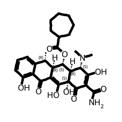 C[C@H]1c2cccc(O)c2C(=O)C2=C(O)[C@]3(O)C(=O)C(C(N)=O)=C(O)[C@@H](N(C)C)[C@@H]3[C@@H](OC(=O)C3CCCCCC3)[C@@H]21